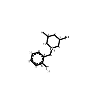 CC1CC(F)CN(Cc2ccccc2F)C1